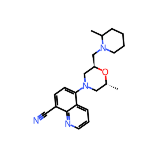 CC1CCCCN1C[C@@H]1CN(c2ccc(C#N)c3ncccc23)C[C@@H](C)O1